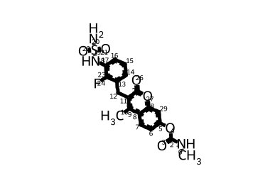 CNC(=O)Oc1ccc2c(C)c(Cc3cccc(NS(N)(=O)=O)c3F)c(=O)oc2c1